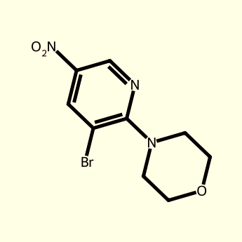 O=[N+]([O-])c1cnc(N2CCOCC2)c(Br)c1